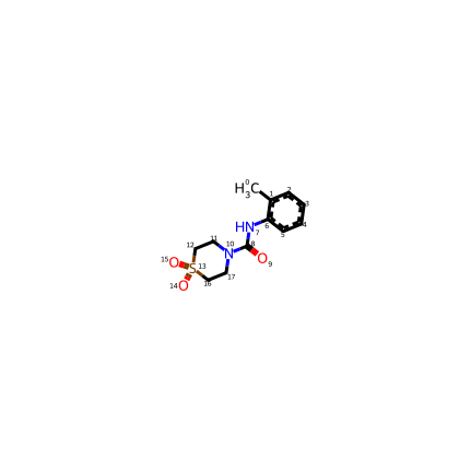 Cc1ccccc1NC(=O)N1CCS(=O)(=O)CC1